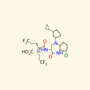 O=C1Nc2c(Cl)cccc2N(c2cccc(C3CC3)c2)CC1NC(=O)[C@H](CCC(F)(F)F)[C@H](CCC(F)(F)F)C(=O)O